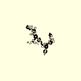 CC(C)OCc1cc(Nc2ncc(Cl)c(NCC3CCCO3)n2)ccc1N1CCN(CCC(C)Oc2cc(N3CCN(I)CC3)ccc2Nc2ncc(Cl)c(NC[C@H]3CCCO3)n2)CC1